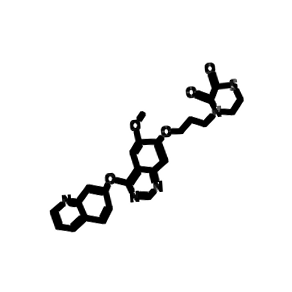 COc1cc2c(Oc3ccc4cccnc4c3)ncnc2cc1OCCCN1CCSC(=O)C1=O